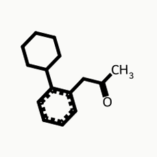 CC(=O)Cc1ccccc1C1CCCCC1